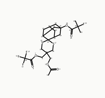 CC(=O)OCC1(COC(=O)C(F)(F)F)CSC2(SC1)C1CC3CC2CC(OC(=O)C(C)(C)F)(C3)C1